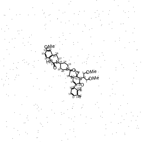 COCC(COC)n1c(=O)c(-c2cccc(F)c2F)cn(CC(=O)N2CCC(N3CCc4cc(OC)ccc4NC3=O)CC2)c1=O